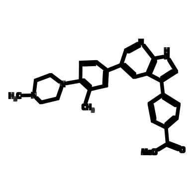 COC(=O)c1ccc(-c2c[nH]c3ncc(-c4ccc(N5CCN(C)CC5)c(C)c4)cc23)cc1